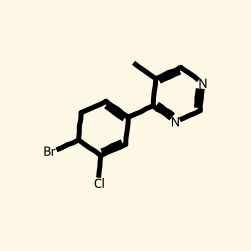 Cc1cncnc1C1=CCC(Br)C(Cl)=C1